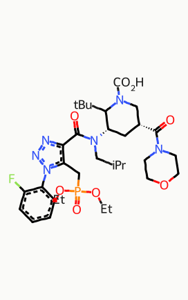 CCOP(=O)(Cc1c(C(=O)N(CC(C)C)[C@H]2C[C@@H](C(=O)N3CCOCC3)CN(C(=O)O)C2C(C)(C)C)nnn1-c1ccccc1F)OCC